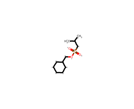 CC(C)CS(=O)(=O)OCC1CCCCC1